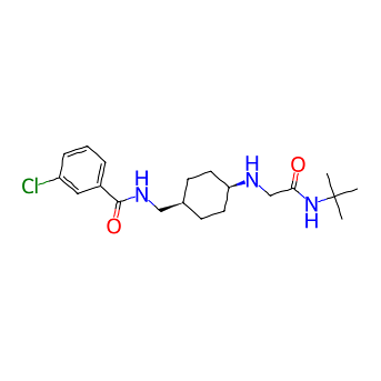 CC(C)(C)NC(=O)CN[C@H]1CC[C@@H](CNC(=O)c2cccc(Cl)c2)CC1